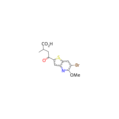 COc1nc2cc(C(=O)CC(C)C(=O)O)sc2cc1Br